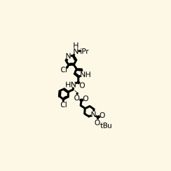 CC(C)Nc1cc(-c2c[nH]c(C(=O)N[C@H](COC(=O)CC3CCN(C(=O)OC(C)(C)C)CC3)c3cccc(Cl)c3)c2)c(Cl)cn1